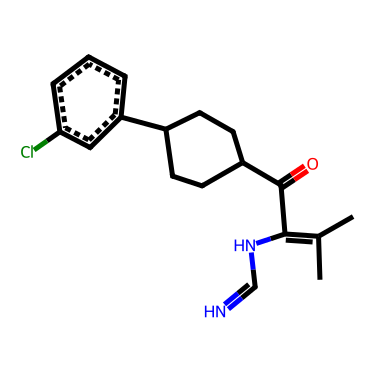 CC(C)=C(NC=N)C(=O)C1CCC(c2cccc(Cl)c2)CC1